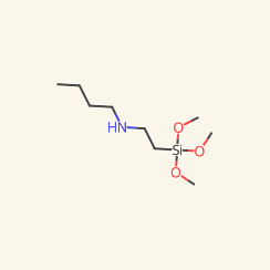 CCCCNCC[Si](OC)(OC)OC